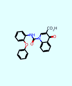 O=C(O)c1cn(C(=O)Nc2ccccc2Oc2ccccc2)c2ccccc2c1=O